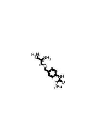 CC(C)(C)OC(=O)Nc1ccc(COCC(N)CN)cc1